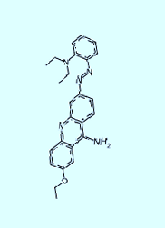 CCOc1ccc2nc3cc(/N=N/c4ccccc4N(CC)CC)ccc3c(N)c2c1